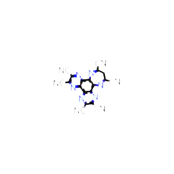 N#CC1=Nc2c(c3nc(C#N)c(C#N)nc3c3nc(C#N)c(C#N)nc23)N=C(C#N)C1